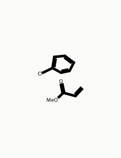 C=CC(=O)OC.Clc1cc[c]cc1